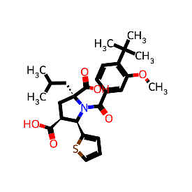 COc1cc(C(=O)N2[C@@H](c3cccs3)[C@@H](C(=O)O)C[C@@]2(CC(C)C)C(=O)O)ccc1C(C)(C)C